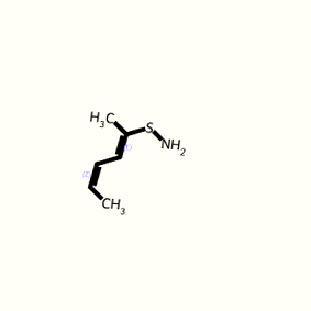 C/C=C\C=C(/C)SN